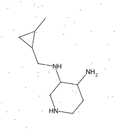 CC1CC1CNC1CNCCC1N